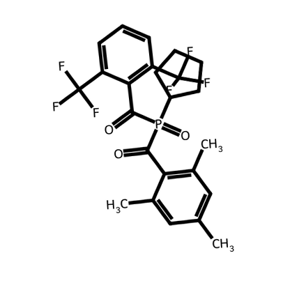 Cc1cc(C)c(C(=O)P(=O)(C(=O)c2c(C(F)(F)F)cccc2C(F)(F)F)C2CCCC2)c(C)c1